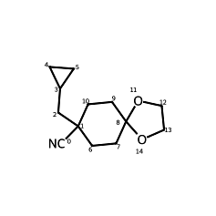 N#CC1(CC2CC2)CCC2(CC1)OCCO2